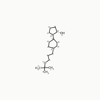 CC(C)(C)OCCCN1CCC(N2CCC[C@@H]2O)CC1